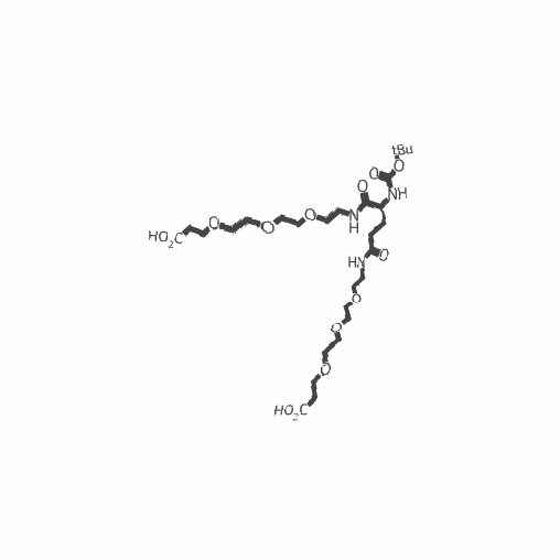 CC(C)(C)OC(=O)N[C@@H](CCC(=O)NCCOCCOCCOCCC(=O)O)C(=O)NCCOCCOCCOCCC(=O)O